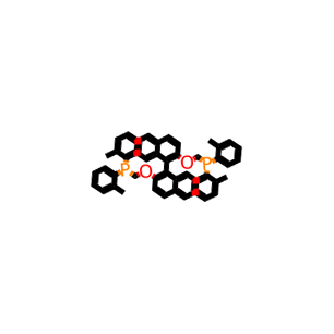 Cc1ccccc1P(COc1ccc2ccccc2c1-c1c(OCP(c2ccccc2C)c2ccccc2C)ccc2ccccc12)c1ccccc1C